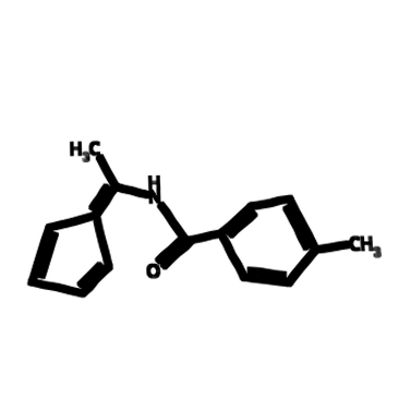 CC(NC(=O)c1ccc(C)cc1)=C1C=CC=C1